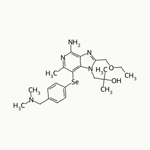 CCOCc1nc2c(N)nc(C)c([Se]c3ccc(CN(C)C)cc3)c2n1CC(C)(C)O